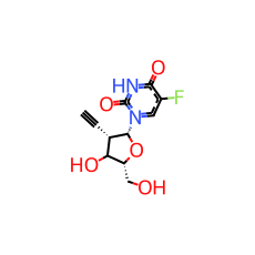 C#C[C@H]1C(O)[C@@H](CO)O[C@H]1n1cc(F)c(=O)[nH]c1=O